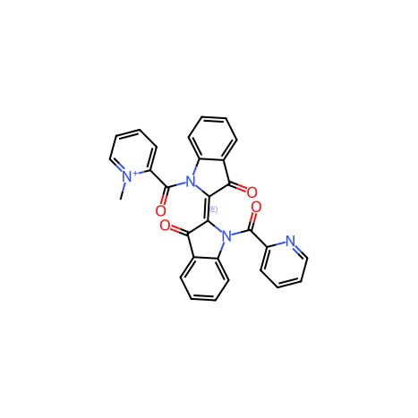 C[n+]1ccccc1C(=O)N1/C(=C2\C(=O)c3ccccc3N2C(=O)c2ccccn2)C(=O)c2ccccc21